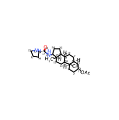 CC(=O)O[C@H]1CC[C@@]2(C)[C@@H](CC[C@@H]3[C@@H]2CC[C@]2(C)[C@@H](NC(=O)[C@@H]4CCCN4)CC[C@@H]32)C1